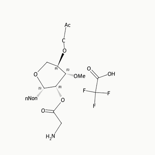 CCCCCCCCC[C@@H]1OC[C@@H](OCC(C)=O)[C@H](OC)[C@@H]1OC(=O)CN.O=C(O)C(F)(F)F